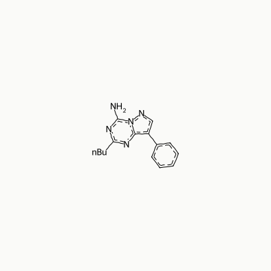 CCCCc1nc(N)n2ncc(-c3ccccc3)c2n1